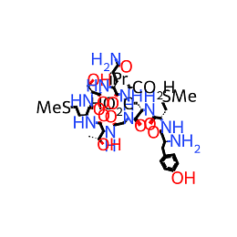 CSCC[C@H](NC(=O)[C@@H](NC(=O)CNC(=O)[C@H](CC(=O)O)NC(=O)[C@H](CCSC)NC(=O)[C@@H](N)Cc1ccc(O)cc1)[C@@H](C)O)C(=O)N[C@@H](CO)C(=O)N[C@@H](CCC(N)=O)C(=O)N[C@H](C(=O)O)C(C)C